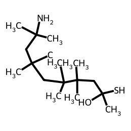 CC(C)(N)CC(C)(C)CC(C)(C)C(C)(C)CC(C)(O)S